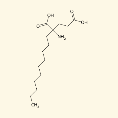 CCCCCCCCCCC(N)(CCC(=O)O)C(=O)O